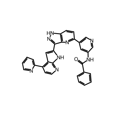 O=C(Nc1cncc(-c2ccc3[nH]nc(-c4cc5c(-c6ccccn6)ccnc5[nH]4)c3n2)c1)c1ccccc1